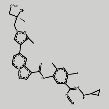 COC[C@@](C)(O)Cn1cc(-c2ccn3ncc(C(=O)Nc4cc(/C(N=N)=N/NC5CC5)c(F)cc4C)c3c2)c(C)n1